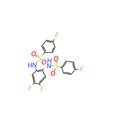 O=S(=O)(Nc1cc(F)c(F)cc1NS(=O)(=O)c1ccc(F)cc1)c1ccc(F)cc1